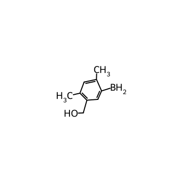 Bc1cc(CO)c(C)cc1C